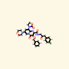 O=C(CNC(=O)c1nc2c(N3CCOC3=O)cc(N3CCOCC3)cn2c(=O)c1OCc1ccccc1)Cc1ccc(F)cc1